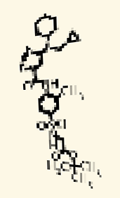 Cc1cc(S(=O)(=O)NCC(=O)OC(C)(C)C)ccc1NC(=O)c1cc(N(CC2CC2)C2CCCCC2)ncn1